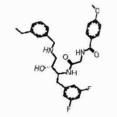 CCc1cccc(CNC[C@@H](O)[C@H](Cc2cc(F)cc(F)c2)NC(=O)CNC(=O)c2ccc(OC)cc2)c1